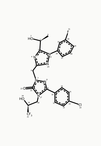 C[C@H](O)c1nc(Cn2nc(-c3ccc(Cl)cc3)n(C[C@H](O)C(F)(F)F)c2=O)nn1-c1cccc(F)c1